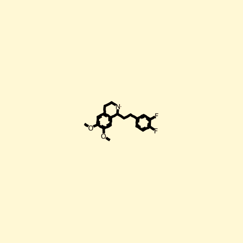 COc1cc2c(cc1OC)C(CCc1ccc(F)c(F)c1)[N]CC2